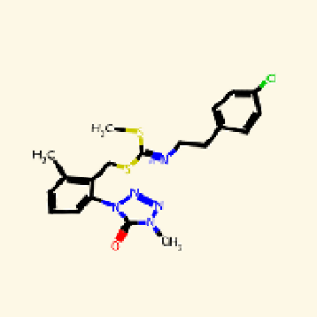 CS/C(=N\CCc1ccc(Cl)cc1)SCc1c(C)cccc1-n1nnn(C)c1=O